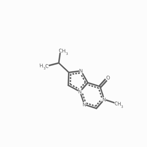 CC(C)c1cn2ncn(C)c(=O)c2n1